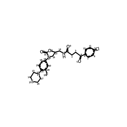 O=C(CCC(=O)c1ccc(Cl)cc1)NCC1CN(c2ccc(N3CCSCC3)c(F)c2)C(=O)O1